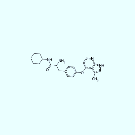 Cc1c[nH]c2nccc(Oc3ccc(CC(N)C(=O)NC4CCCCC4)cc3)c12